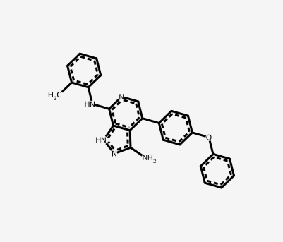 Cc1ccccc1Nc1ncc(-c2ccc(Oc3ccccc3)cc2)c2c(N)n[nH]c12